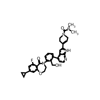 CN(C)C(=O)N1CC=C(c2cc3c(-c4cccc(N5CCOc6cc(C7CC7)cc(F)c6C5=O)c4CO)ccnc3[nH]2)CC1